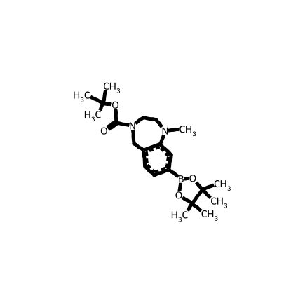 CN1CCN(C(=O)OC(C)(C)C)Cc2ccc(B3OC(C)(C)C(C)(C)O3)cc21